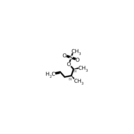 C=CC[C@H](C)[C@H](C)OS(C)(=O)=O